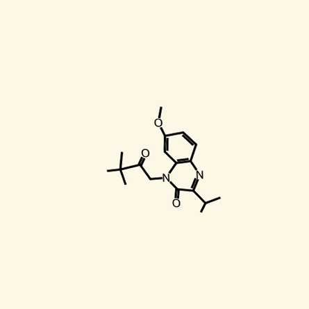 COc1ccc2nc(C(C)C)c(=O)n(CC(=O)C(C)(C)C)c2c1